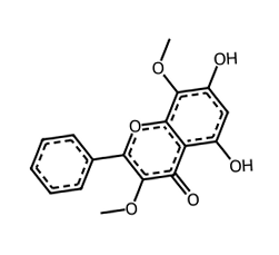 COc1c(-c2ccccc2)oc2c(OC)c(O)cc(O)c2c1=O